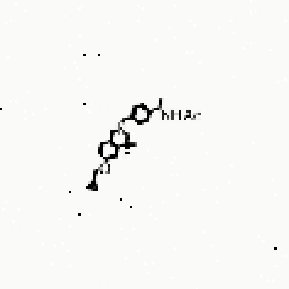 CC(=O)N[C@@H](C)c1ccc(CN2Cc3ccc(OCC4CC4)cc3C(C)(F)C2)cc1